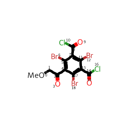 COCC(=O)c1c(Br)c(C(=O)Cl)c(Br)c(C(=O)Cl)c1Br